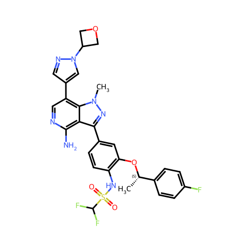 C[C@H](Oc1cc(-c2nn(C)c3c(-c4cnn(C5COC5)c4)cnc(N)c23)ccc1NS(=O)(=O)C(F)F)c1ccc(F)cc1